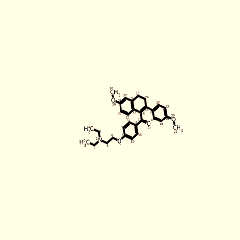 CCN(CC)CCOc1ccc(C(=O)C2=C(c3ccc(OC)cc3)CCc3cc(OC)ccc32)cc1